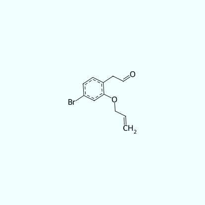 C=CCOc1cc(Br)ccc1CC=O